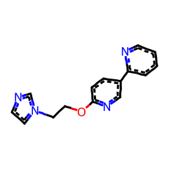 c1ccc(-c2ccc(OCCn3ccnc3)nc2)nc1